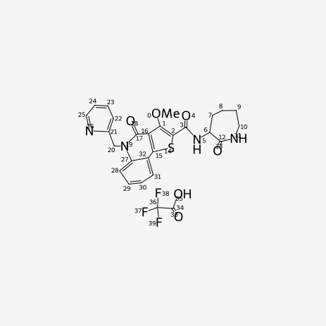 COc1c(C(=O)NC2CCCCNC2=O)sc2c1c(=O)n(Cc1ccccn1)c1ccccc21.O=C(O)C(F)(F)F